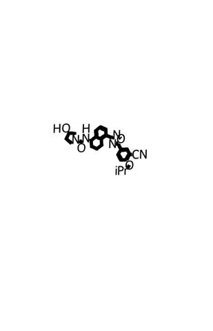 CC(C)Oc1ccc(-c2nc(-c3cccc4c3CCC[C@H]4NC(=O)N3CC[C@H](O)C3)no2)cc1C#N